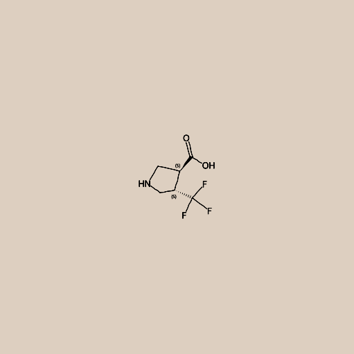 O=C(O)[C@@H]1CNC[C@H]1C(F)(F)F